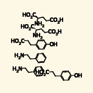 NCCc1ccccc1.NCCc1ccccc1.N[C@@H](CCC(=O)O)C(=O)O.N[C@H](CCC(=O)O)C(=O)O.O=C(O)CCc1ccc(O)cc1.O=C(O)CCc1ccc(O)cc1